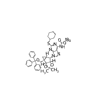 CC(C)(C)OC(=O)Nc1nc(SC2CCCCC2)nc2c1ncn2[C@H]1[C@@H]2OC(C)(C)O[C@@H]2[C@]2(COC(c3ccccc3)(c3ccccc3)c3ccccc3)C[C@H]12